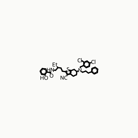 CCC(CCc1sc2c(c1C#N)CCC(N(CCCc1ccccc1)Cc1ccc(Cl)cc1Cl)C2)CNC(=O)c1ccccc1O